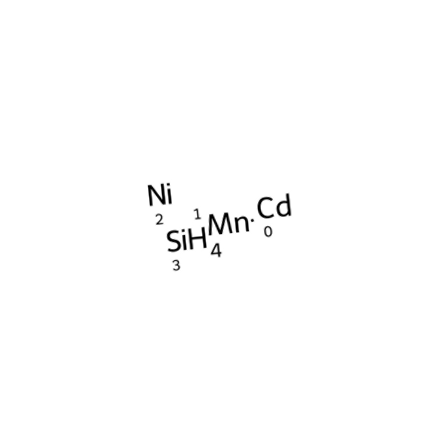 [Cd].[Mn].[Ni].[SiH4]